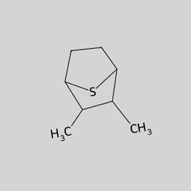 CC1C2CCC(S2)C1C